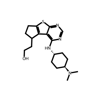 CN(C)[C@H]1CC[C@H](Nc2ncnc3sc4c(c23)C(CCO)CC4)CC1